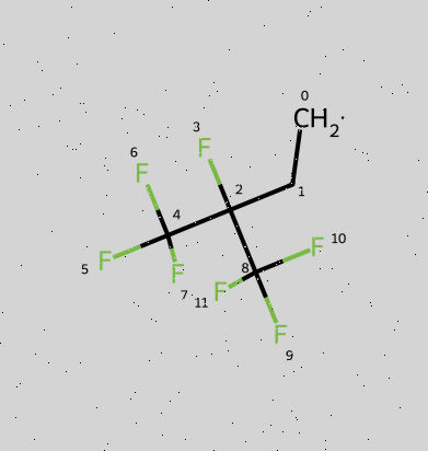 [CH2]CC(F)(C(F)(F)F)C(F)(F)F